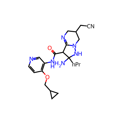 CCCC1(N)NN2CC(CC#N)CN=C2C1C(=O)Nc1cnccc1OCC1CC1